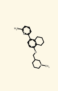 CN1CCCC(COc2ccc(-c3cccc(N)n3)c3c2CCCC3)C1